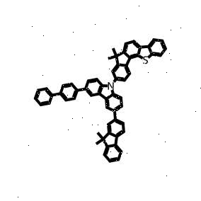 CC1(C)c2ccccc2-c2ccc(-c3ccc4c(c3)c3cc(-c5ccc(-c6ccccc6)cc5)ccc3n4-c3ccc4c(c3)C(C)(C)c3ccc5c(sc6ccccc65)c3-4)cc21